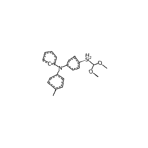 COC(OC)[SiH2]c1ccc(N(c2ccccc2)c2ccc(C)cc2)cc1